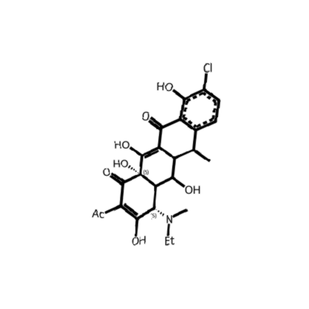 CCN(C)[C@@H]1C(O)=C(C(C)=O)C(=O)[C@@]2(O)C(O)=C3C(=O)c4c(ccc(Cl)c4O)C(C)C3C(O)C12